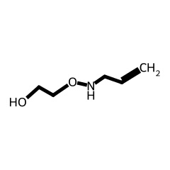 C=CCNOCCO